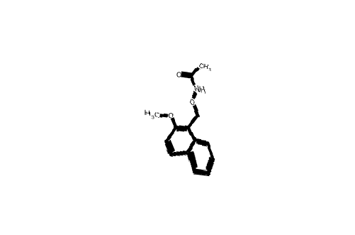 COc1ccc2ccccc2c1CONC(C)=O